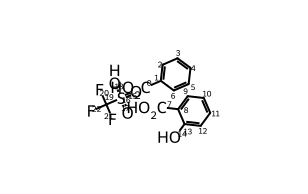 O=C(O)c1ccccc1.O=C(O)c1ccccc1O.O=S(=O)(O)C(F)(F)F